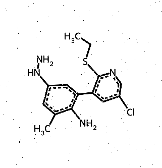 CCSc1ncc(Cl)cc1-c1cc(NN)cc(C)c1N